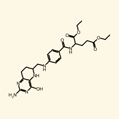 CCOC(=O)CCC(NC(=O)c1ccc(NCC2CCc3nc(N)nc(O)c3N2)cc1)C(=O)OCC